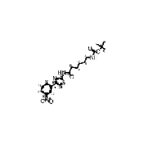 CC(C)(C)OC(=O)NCCCCCC(=O)Nc1nc(-c2cccc([N+](=O)[O-])c2)cs1